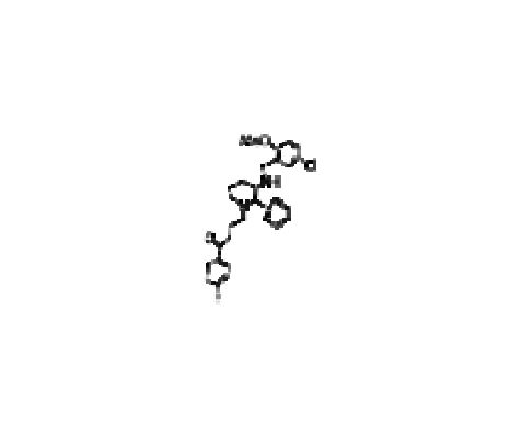 COc1ccc(Cl)cc1CNC1CCCN(CCCC(=O)c2ccc(F)cc2)C1c1ccccc1